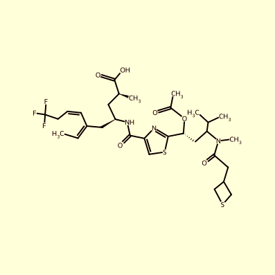 C/C=C(\C=C/CC(F)(F)F)C[C@@H](C[C@H](C)C(=O)O)NC(=O)c1csc([C@@H](CC(C(C)C)N(C)C(=O)CC2CSC2)OC(C)=O)n1